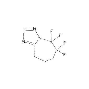 FC1(F)CCCc2ncnn2C1(F)F